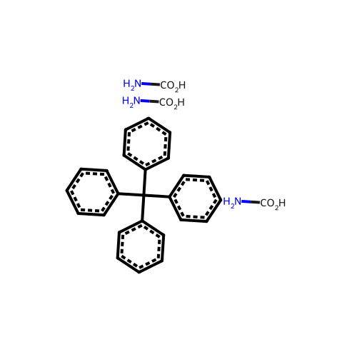 NC(=O)O.NC(=O)O.NC(=O)O.c1ccc(C(c2ccccc2)(c2ccccc2)c2ccccc2)cc1